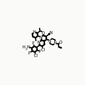 C=CC(=O)N1CCN(c2c(C#N)c(=O)n(-c3c(C)ccnc3C(C)C)c3nc(-c4c(F)c(N)c(F)c(Cl)c4F)c(Cl)cc23)CC1